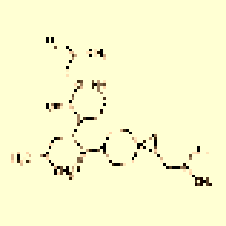 CC(C)CC(C(=O)N1CCC2(CC1)CC2CN(C)C)N1CCN[C@@H](CC(C)C)C1=O